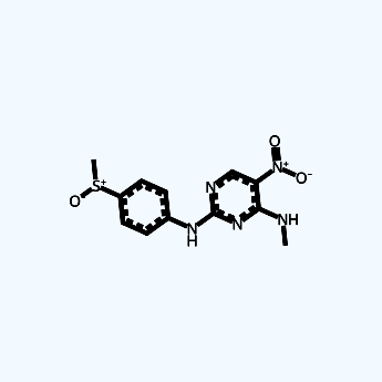 CNc1nc(Nc2ccc([S+](C)[O-])cc2)ncc1[N+](=O)[O-]